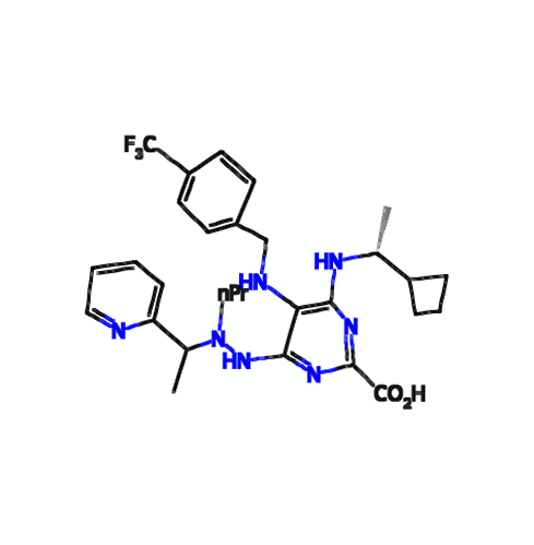 CCCN(Nc1nc(C(=O)O)nc(N[C@H](C)C2CCC2)c1NCc1ccc(C(F)(F)F)cc1)C(C)c1ccccn1